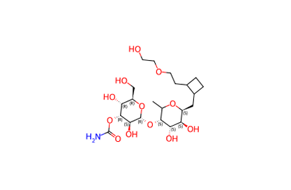 CC1O[C@@H](CC2CCC2CCOCCO)[C@@H](O)[C@H](O)[C@@H]1O[C@H]1O[C@H](CO)[C@@H](O)[C@@H](OC(N)=O)[C@@H]1O